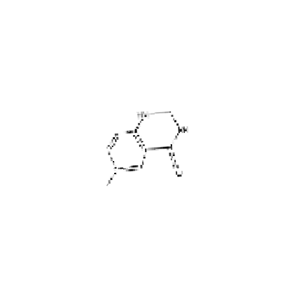 Cc1ccc2c(c1)C(=O)NCN2